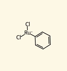 [Cl][Ru-]([Cl])[c]1ccccc1